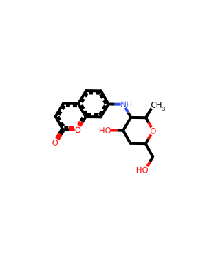 CC1OC(CO)CC(O)C1Nc1ccc2ccc(=O)oc2c1